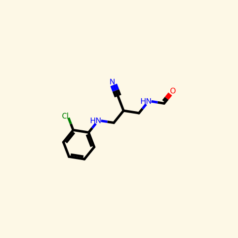 N#CC(CNC=O)CNc1ccccc1Cl